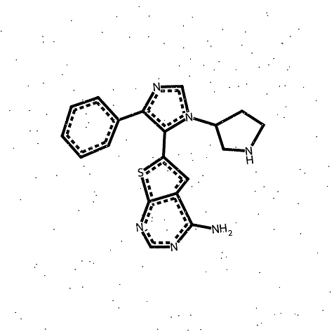 Nc1ncnc2sc(-c3c(-c4ccccc4)ncn3C3CCNC3)cc12